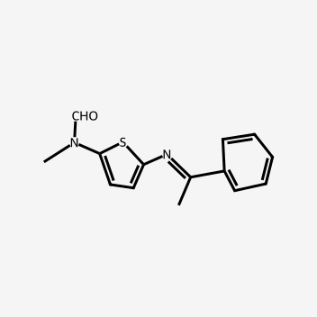 C/C(=N\c1ccc(N(C)C=O)s1)c1ccccc1